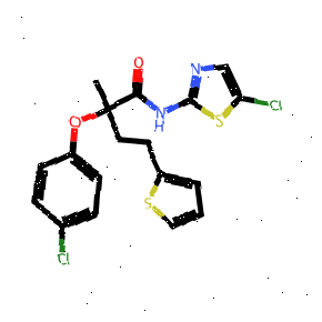 CC(CCc1cccs1)(Oc1ccc(Cl)cc1)C(=O)Nc1ncc(Cl)s1